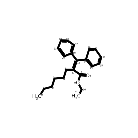 CCCCCCC(C(=O)OCC)=C(c1ccccc1)c1ccccc1